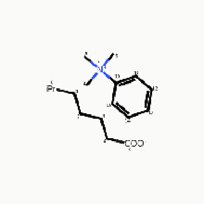 CC(C)CCCCC(=O)[O-].C[N+](C)(C)c1ccccc1